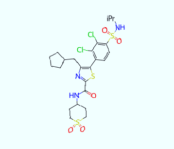 CC(C)NS(=O)(=O)c1ccc(-c2sc(C(=O)NC3CCS(=O)(=O)CC3)nc2CC2CCCC2)c(Cl)c1Cl